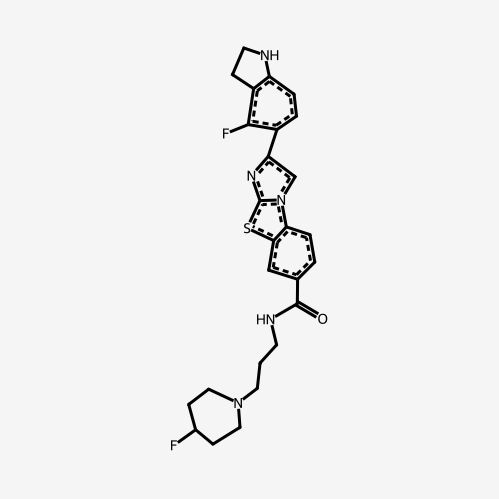 O=C(NCCCN1CCC(F)CC1)c1ccc2c(c1)sc1nc(-c3ccc4c(c3F)CCN4)cn12